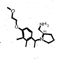 COCCOc1ccc(C(C)N2CCC[C@@H]2CN)c(C)c1C